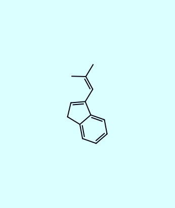 CC(C)=CC1=CCc2ccccc21